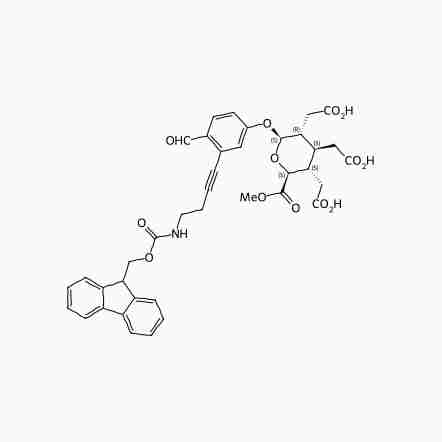 COC(=O)[C@H]1O[C@@H](Oc2ccc(C=O)c(C#CCCNC(=O)OCC3c4ccccc4-c4ccccc43)c2)[C@H](CC(=O)O)[C@@H](CC(=O)O)[C@@H]1CC(=O)O